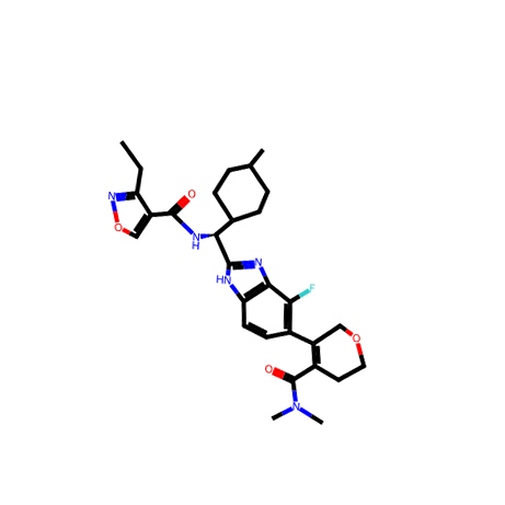 CCc1nocc1C(=O)N[C@H](c1nc2c(F)c(C3=C(C(=O)N(C)C)CCOC3)ccc2[nH]1)C1CCC(C)CC1